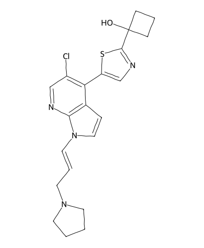 OC1(c2ncc(-c3c(Cl)cnc4c3ccn4/C=C/CN3CCCC3)s2)CCC1